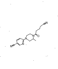 CC1CN(c2ccc(C#N)cn2)CCN1C(=O)CCCC#N